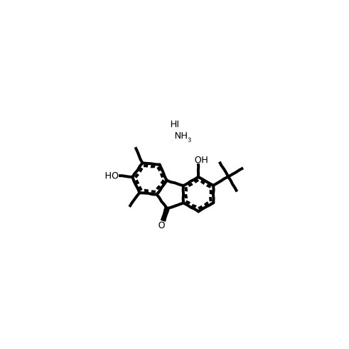 Cc1cc2c(c(C)c1O)C(=O)c1ccc(C(C)(C)C)c(O)c1-2.I.N